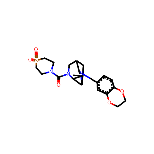 CC12CC3CN(C(=O)N4CCS(=O)(=O)CC4)C1C2N(c1ccc2c(c1)OCCO2)C3